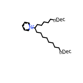 CCCCCCCCCCCCCCCCCCC(CCCCCCCCCCCCCCC)[n+]1ccccc1